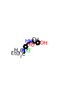 CCOC(=O)CN(C)c1ccc(CCN[C@@H](C)[C@H](O)c2ccc(O)cc2)cc1Cl